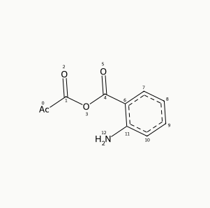 CC(=O)C(=O)OC(=O)c1ccccc1N